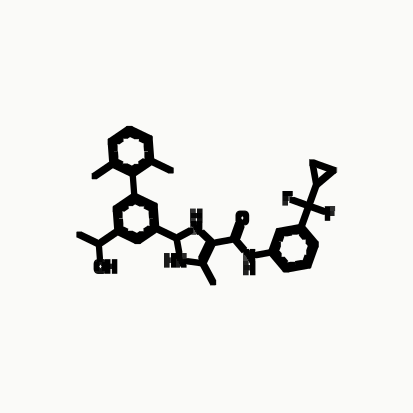 CC1=C(C(=O)Nc2cccc(C(F)(F)C3CC3)c2)NC(c2cc(-c3c(C)cccc3C)cc(C(C)O)c2)N1